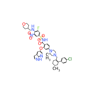 C[C@@H]1CCC(CN2CCN(c3ccc(C(=O)NS(=O)(=O)c4cc(F)c(NCC5CCOCC5)c([N+](=O)[O-])c4)c(Oc4cnc5[nH]ccc5c4)c3)[C@H](C)C2)=C(c2ccc(Cl)cc2)C1